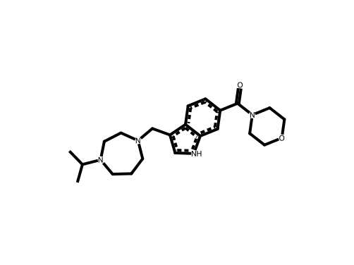 CC(C)N1CCCN(Cc2c[nH]c3cc(C(=O)N4CCOCC4)ccc23)CC1